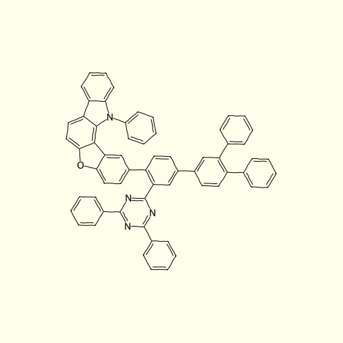 c1ccc(-c2nc(-c3ccccc3)nc(-c3cc(-c4ccc(-c5ccccc5)c(-c5ccccc5)c4)ccc3-c3ccc4oc5ccc6c7ccccc7n(-c7ccccc7)c6c5c4c3)n2)cc1